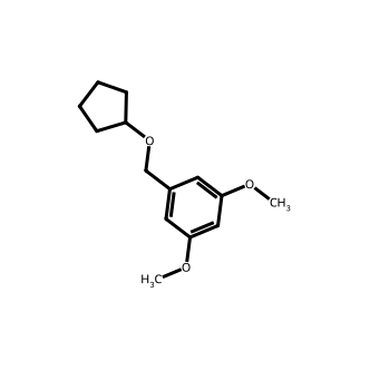 COc1cc(COC2CCCC2)cc(OC)c1